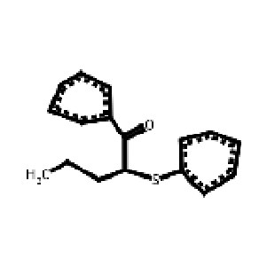 CCCC(Sc1ccccc1)C(=O)c1ccccc1